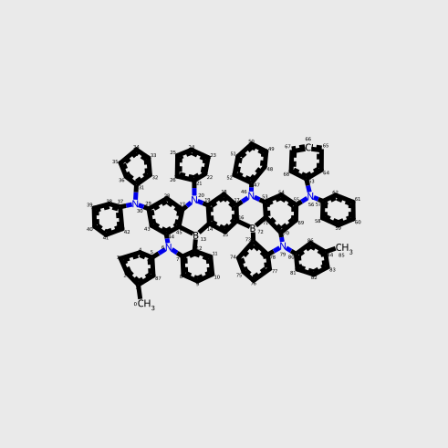 Cc1cccc(N2c3ccccc3B3c4cc5c(cc4N(c4ccccc4)c4cc(N(c6ccccc6)c6ccccc6)cc2c43)N(c2ccccc2)c2cc(N(c3ccccc3)c3ccccc3)cc3c2B5c2ccccc2N3c2cccc(C)c2)c1